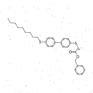 CCCCCCCCCSc1ccc(-c2ccc(S[C@H](C)C(=O)OCc3ccccc3)cc2)cc1